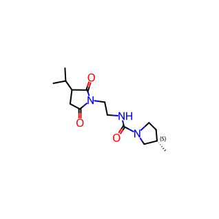 CC(C)C1CC(=O)N(CCNC(=O)N2CC[C@H](C)C2)C1=O